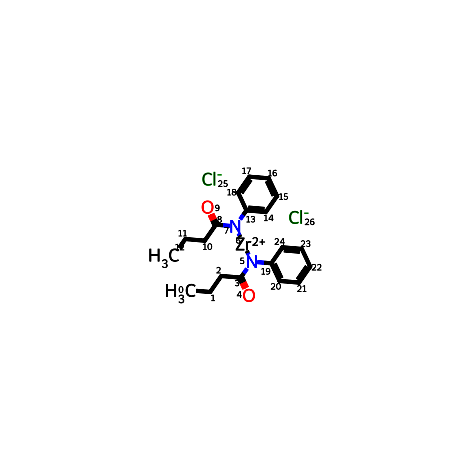 CCCC(=O)[N]([Zr+2][N](C(=O)CCC)c1ccccc1)c1ccccc1.[Cl-].[Cl-]